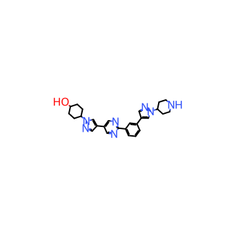 OC1CCC(n2cc(-c3cnc(-c4cccc(-c5cnn(C6CCNCC6)c5)c4)nc3)cn2)CC1